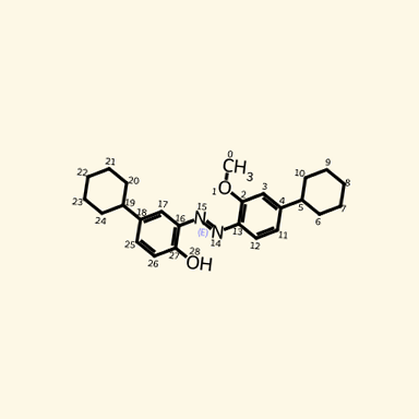 COc1cc(C2CCCCC2)ccc1/N=N/c1cc(C2CCCCC2)ccc1O